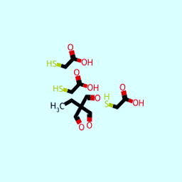 CCC(C=O)(C=O)C=O.O=C(O)CS.O=C(O)CS.O=C(O)CS